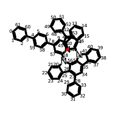 c1ccc(-c2ccc(-c3cc(-c4ccccc4)nc(-n4c5ccccc5c5c(-c6ccccc6)cc6c7ccccc7n(-c7ccc(-c8ccccc8)cc7)c6c54)c3)cc2)cc1